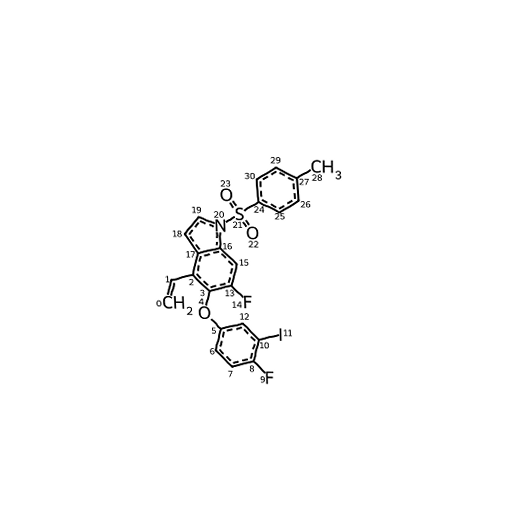 C=Cc1c(Oc2ccc(F)c(I)c2)c(F)cc2c1ccn2S(=O)(=O)c1ccc(C)cc1